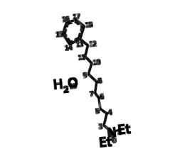 CCN(CC)CCCCCCCCCCc1ccccc1.O